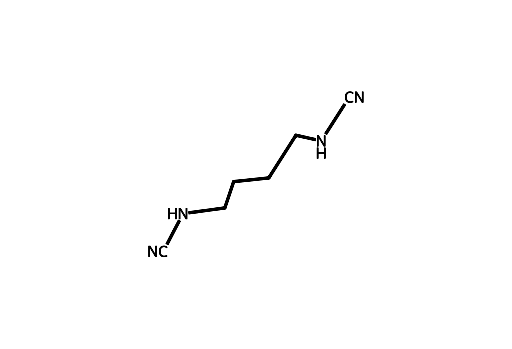 N#CNCCCCNC#N